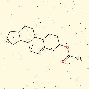 CC(=O)OC1CCC2C(=CCC3C4CCCC4CCC23)C1